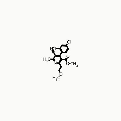 COCCc1nc(C)c(C#N)c(-c2ccc(Cl)cc2Cl)c1C(=O)OC